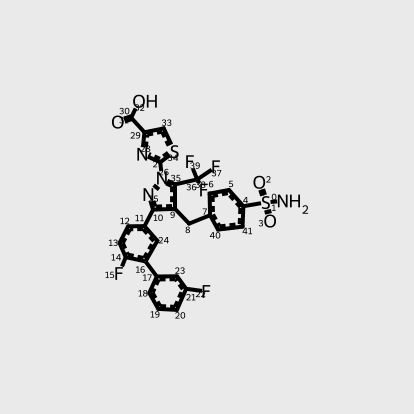 NS(=O)(=O)c1ccc(Cc2c(-c3ccc(F)c(-c4cccc(F)c4)c3)nn(-c3nc(C(=O)O)cs3)c2C(F)(F)F)cc1